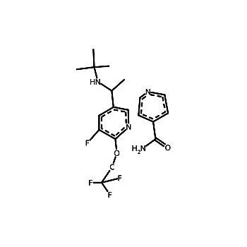 CC(NC(C)(C)C)c1cnc(OCC(F)(F)F)c(F)c1.NC(=O)c1ccncc1